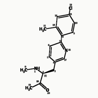 CN[C@@H](Cc1ccc(-c2ccc(Cl)cc2C)nc1)C(C)=O